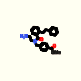 COC(=O)c1ccc(CN(CCN)C(=O)c2ccccc2CCc2ccccc2)cc1